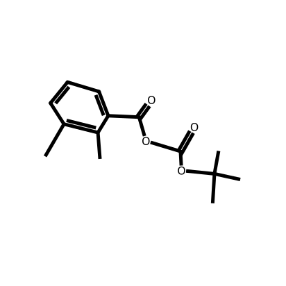 Cc1cccc(C(=O)OC(=O)OC(C)(C)C)c1C